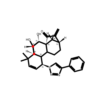 C=C1C(=O)[C@@]23C(CC[C@@H]1[C@H]2O)[C@@]12CO[C@]3(O)[C@@H](O)[C@@H]1C(C)(C)C=C[C@@H]2n1cc(-c2ccccc2)nn1